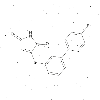 O=C1C=C(Sc2cccc(-c3ccc(F)cc3)c2)C(=O)N1